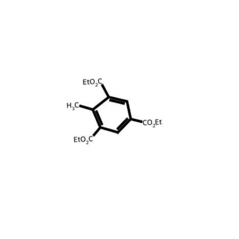 CCOC(=O)c1[c]c(C(=O)OCC)c(C)c(C(=O)OCC)c1